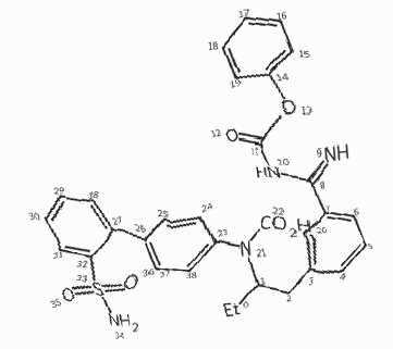 CCC(Cc1cccc(C(=N)NC(=O)Oc2ccccc2)c1)N(C(=O)O)c1ccc(-c2ccccc2S(N)(=O)=O)cc1